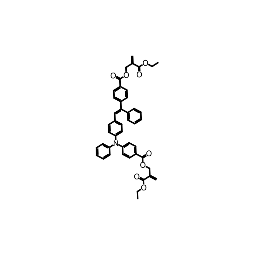 C=C(COC(=O)c1ccc(C(=Cc2ccc(N(c3ccccc3)c3ccc(C(=O)OCC(=C)C(=O)OCC)cc3)cc2)c2ccccc2)cc1)C(=O)OCC